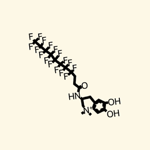 C[N+]1(C)CC(NC(=O)CCC(F)(F)C(F)(F)C(F)(F)C(F)(F)C(F)(F)C(F)(F)C(F)(F)C(F)(F)F)Cc2cc(O)c(O)cc21